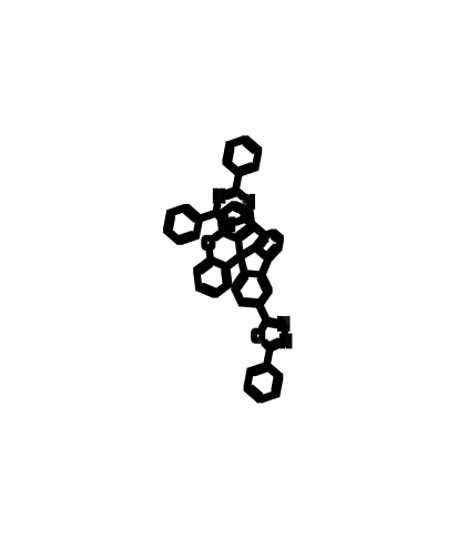 c1ccc(-c2nc(-c3ccccc3)nc(-c3cccc4c3C3(c5ccccc5Oc5ccccc53)c3ccc(-c5nnc(-c6ccccc6)o5)cc3-4)n2)cc1